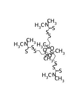 CN(C)C(=S)SSCC[Si]1(C)O[Si](C)(CCSSC(=S)N(C)C)O[Si](C)(CCSSC(=S)N(C)C)O1